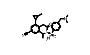 CC(C)c1cc(C#N)cc(C2CC2C)c1CC(=O)N=S(N)(=O)c1ccc(CN(C)C)cc1